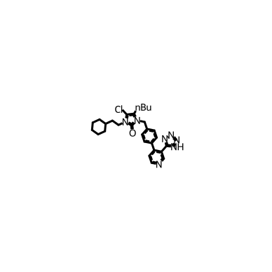 CCCCc1c(Cl)n(CCC2CCCCC2)c(=O)n1Cc1ccc(-c2ccncc2-c2nnn[nH]2)cc1